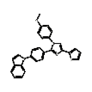 COc1ccc(-n2cc(-c3cccs3)nc2-c2ccc(-n3ccc4cccnc43)cc2)cc1